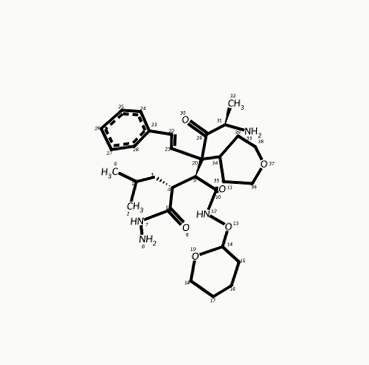 CC(C)C[C@@H](C(=O)NN)[C@H](C(=O)NOC1CCCCO1)C(/C=C/c1ccccc1)(C(=O)[C@@H](C)N)C1CCOCC1